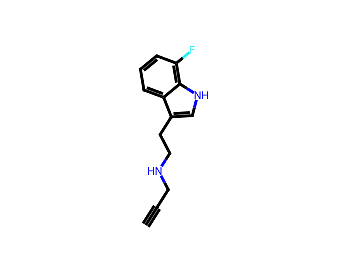 C#CCNCCc1c[nH]c2c(F)cccc12